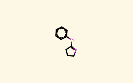 c1ccc(PC2=PCCC2)cc1